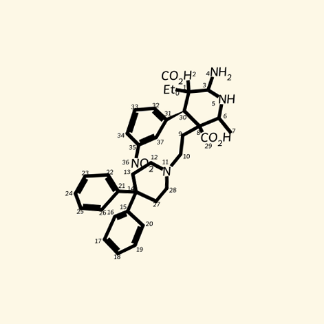 CCC1(C(=O)O)C(N)NC(C)C(CCN2CCC(c3ccccc3)(c3ccccc3)CC2)(C(=O)O)[C@H]1c1cccc([N+](=O)[O-])c1